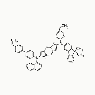 C=Cc1ccc(-c2ccc(N(c3cc4cc5sc(N(c6ccc(C=C)cc6)c6ccc7c(c6)-c6ccccc6C7(C)C)cc5cc4s3)c3cccc4ccccc34)cc2)cc1